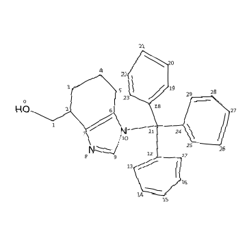 OCC1CCCc2c1ncn2C(c1ccccc1)(c1ccccc1)c1ccccc1